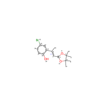 C/C(=C\B1OC(C)(C)C(C)(C)O1)c1cc(Br)ccc1O